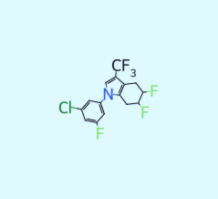 Fc1cc(Cl)cc(-n2cc(C(F)(F)F)c3c2CC(F)C(F)C3)c1